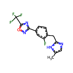 Cc1cnc(Cc2ccc(-c3noc(C(F)(F)F)n3)cc2F)[nH]1